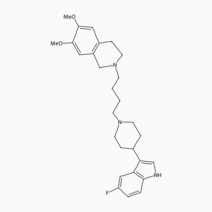 COc1cc2c(cc1OC)CN(CCCCN1CCC(c3c[nH]c4ccc(F)cc34)CC1)CC2